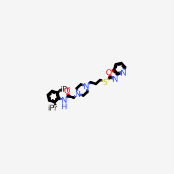 CC(C)c1cccc(C(C)C)c1NC(=O)CN1CCN(CCCSc2nc3ncccc3o2)CC1